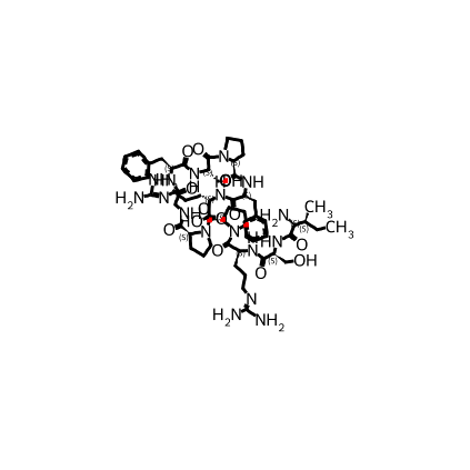 CC[C@H](C)[C@H](N)C(=O)N[C@@H](CO)C(=O)N[C@@H](CCCN=C(N)N)C(=O)N1CCC[C@H]1C(=O)N1CCC[C@H]1C(=O)NCC(=O)N[C@@H](Cc1ccccc1)C(=O)N[C@@H](CO)C(=O)N1CCC[C@H]1C(=O)N[C@@H](Cc1ccccc1)C(=O)N[C@@H](CCCN=C(N)N)C(=O)O